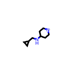 C1CC(NCC2CC2)CC[N]1